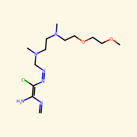 C=N/C(N)=C(Cl)\N=N/CN(C)CCN(C)CCOCCOC